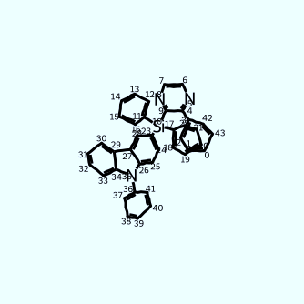 c1ccc(-c2nccnc2[Si](c2ccccc2)(c2ccccc2)c2ccc3c(c2)c2ccccc2n3-c2ccccc2)cc1